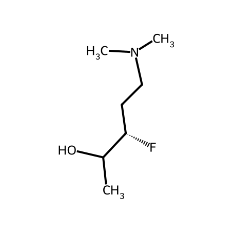 CC(O)[C@@H](F)CCN(C)C